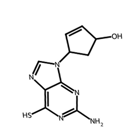 Nc1nc(S)c2ncn(C3C=CC(O)C3)c2n1